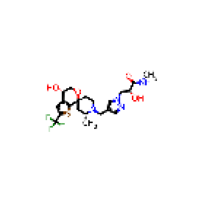 CNC(=O)[C@@H](O)Cn1cc(CN2CC[C@]3(C[C@@H]2C)OC[C@@H](O)c2cc(C(F)(F)F)sc23)cn1